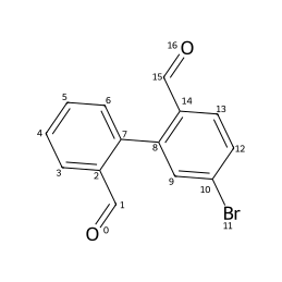 O=Cc1ccccc1-c1cc(Br)ccc1C=O